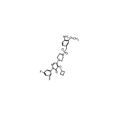 COc1cc(CS(=O)(=O)N2CCN(c3cnn(-c4cc(F)cc(F)c4)c(=O)c3OC3CCC3)CC2)ccc1N